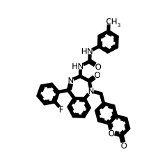 Cc1cccc(NC(=O)NC2N=C(c3ccccc3F)c3ccccc3N(Cc3ccc4oc(=O)ccc4c3)C2=O)c1